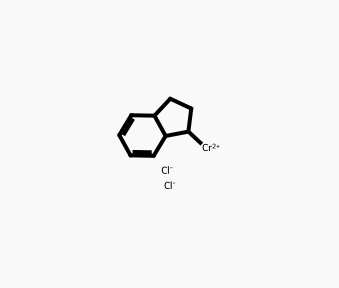 [Cl-].[Cl-].[Cr+2][CH]1CCC2C=CC=CC12